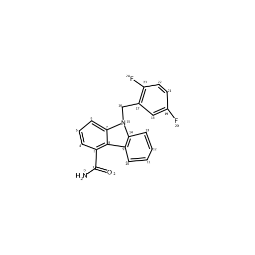 NC(=O)c1cccc2c1c1[c]cccc1n2Cc1cc(F)ccc1F